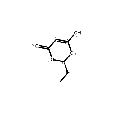 CC[C@H]1OC(=O)C=C(O)O1